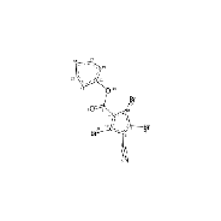 N#Cc1c(Br)c(Br)n(C(=O)Oc2ccccc2)c1Br